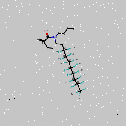 C=C(CC)C(=O)N(CCCC)CCC(F)(F)C(F)(F)C(F)(F)C(F)(F)C(F)(F)C(F)(F)C(F)(F)C(F)(F)F